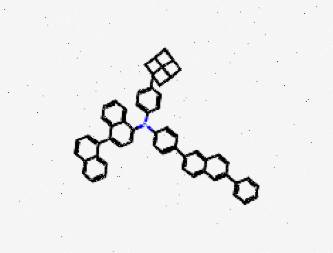 c1ccc(-c2ccc3cc(-c4ccc(N(c5ccc(C67CC8CC9CC(C6)C987)cc5)c5ccc(-c6cccc7ccccc67)c6ccccc56)cc4)ccc3c2)cc1